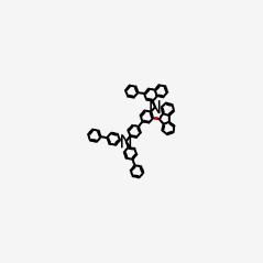 CC12c3ccccc3-c3cccc(c31)N(c1cc(-c3ccccc3)cc3ccccc13)c1ccc(-c3ccc(N(c4ccc(-c5ccccc5)cc4)c4ccc(-c5ccccc5)cc4)cc3)cc12